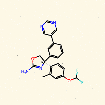 Cc1cc(OC(F)F)ccc1[C@@]1(c2cccc(-c3cncnc3)c2)COC(N)=N1